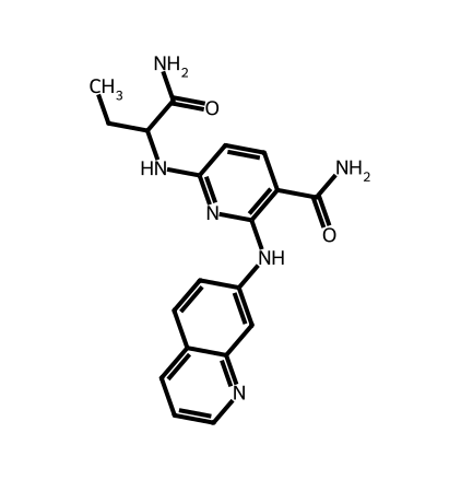 CCC(Nc1ccc(C(N)=O)c(Nc2ccc3cccnc3c2)n1)C(N)=O